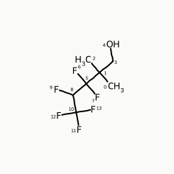 CC(C)(CO)C(F)(F)C(F)C(F)(F)F